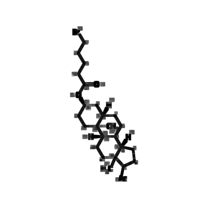 CC(=O)C1CC[C@H]2C3CC[C@H]4C[C@H](OC(=O)CCCCBr)CCC4(C)[C@H]3CCC12C